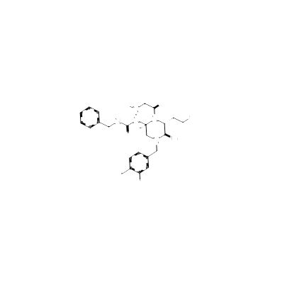 CCC[C@H]1C(=O)N(Cc2ccc(Cl)c(Cl)c2)C[C@H]2N1C(=O)CN(C)N2C(=O)NCc1ccccc1